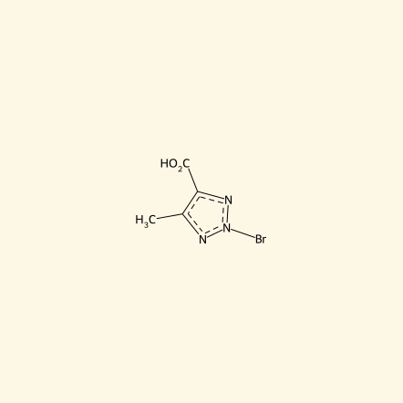 Cc1nn(Br)nc1C(=O)O